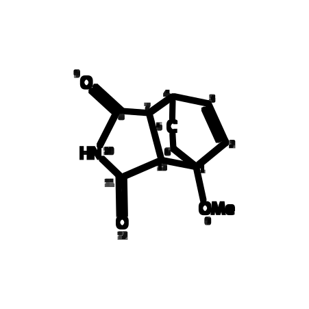 COC12C=CC(CC1)C1C(=O)NC(=O)C12